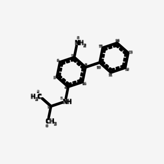 CC(C)Nc1ccc(N)c(-c2ccccc2)c1